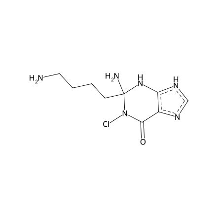 NCCCCC1(N)Nc2[nH]cnc2C(=O)N1Cl